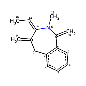 C=C1Cc2ccccc2C(=C)N(C)/C1=C/C